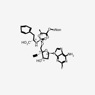 C#C[C@]1(CO[P@](=O)(N[C@@H](Cc2ccccc2)C(=O)O)O[C@@H](C)C(=O)OCCCCCCCCC)O[C@@H](n2cnc3c(N)nc(F)nc32)C[C@@H]1O